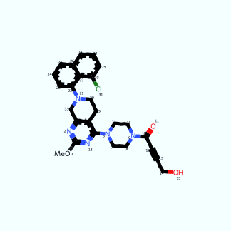 COc1nc2c(c(N3CCN(C(=O)C#CCO)CC3)n1)CCN(c1cccc3cccc(Cl)c13)C2